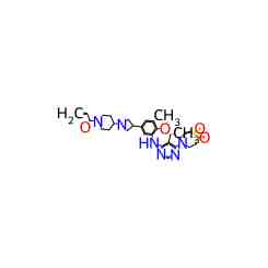 C=CC(=O)N1CCC(N2CC(c3cc(C)c4c(c3)Nc3ncnc(N5CCS(=O)(=O)CC5)c3[C@@H](C)O4)C2)CC1